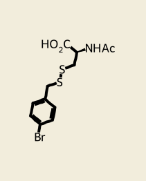 CC(=O)N[C@@H](CSSCc1ccc(Br)cc1)C(=O)O